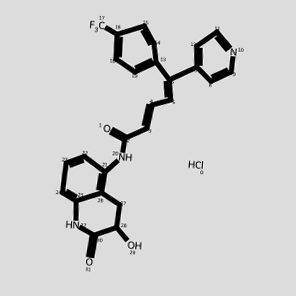 Cl.O=C(C=CC=C(c1ccncc1)c1ccc(C(F)(F)F)cc1)Nc1cccc2c1CC(O)C(=O)N2